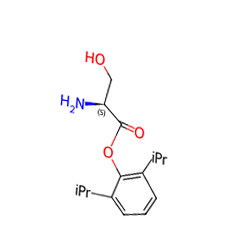 CC(C)c1cccc(C(C)C)c1OC(=O)[C@@H](N)CO